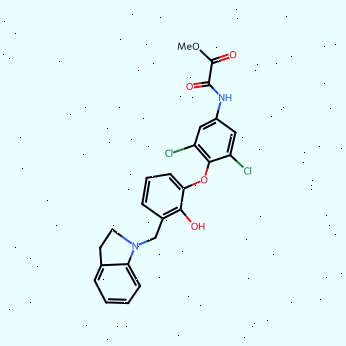 COC(=O)C(=O)Nc1cc(Cl)c(Oc2cccc(CN3CCc4ccccc43)c2O)c(Cl)c1